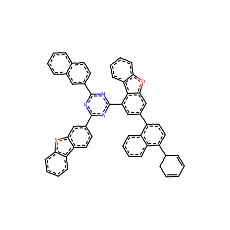 C1=CCC(c2ccc(-c3cc(-c4nc(-c5ccc6ccccc6c5)nc(-c5ccc6c(c5)sc5ccccc56)n4)c4c(c3)oc3ccccc34)c3ccccc23)C=C1